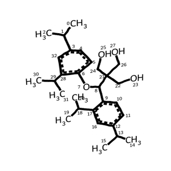 CC(C)c1ccc(OC(c2ccc(C(C)C)cc2C(C)C)C(CO)(CO)CO)c(C(C)C)c1